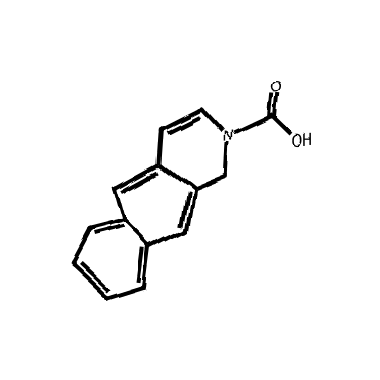 O=C(O)N1C=Cc2cc3ccccc3cc2C1